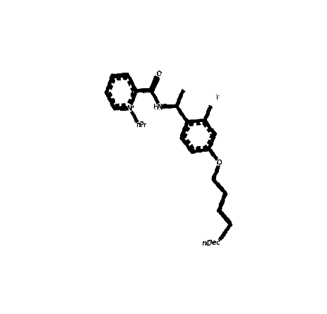 CCCCCCCCCCCCCCOc1ccc(C(C)NC(=O)c2cccc[n+]2CCC)c(C)c1.[I-]